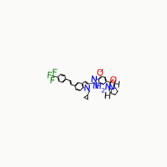 COc1cc(C(=O)N2C[C@H]3CC[C@H]2C3N)cc2nc(-c3cc4cc(C=Cc5ccc(C(F)(F)F)cc5)ccc4n3CC3CC3)n(C)c12